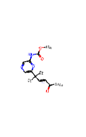 CCC(/C=C/C(=O)OC)(CC)c1cncc(NC(=O)OC(C)(C)C)n1